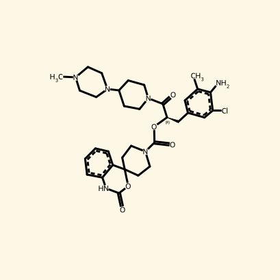 Cc1cc(C[C@@H](OC(=O)N2CCC3(CC2)OC(=O)Nc2ccccc23)C(=O)N2CCC(N3CCN(C)CC3)CC2)cc(Cl)c1N